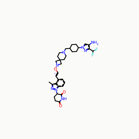 Cc1nn(C2CCC(=O)NC2=O)c2cccc(/C=C/ON3CC4(CCN(CC5CCC(n6cc(N)c(C(F)F)n6)CC5)CC4)C3)c12